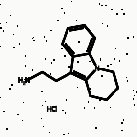 Cl.NCCc1c2n(c3ccccc13)CCCC2